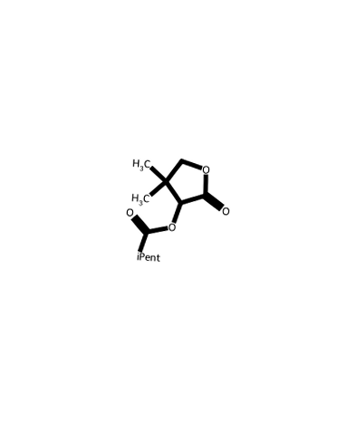 CCCC(C)C(=O)OC1C(=O)OCC1(C)C